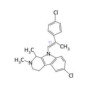 C/C(=C\n1c2c(c3cc(Cl)ccc31)CCN(C)C2C)c1ccc(Cl)cc1